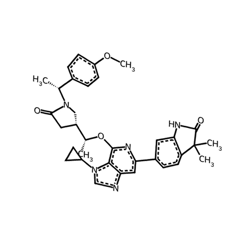 COc1ccc([C@@H](C)N2C[C@H]([C@@H](C)Oc3nc(-c4ccc5c(c4)NC(=O)C5(C)C)cc4ncn(C5CC5)c34)CC2=O)cc1